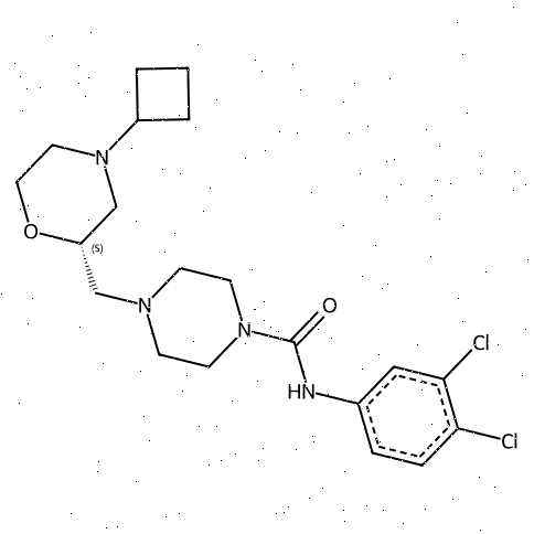 O=C(Nc1ccc(Cl)c(Cl)c1)N1CCN(C[C@H]2CN(C3CCC3)CCO2)CC1